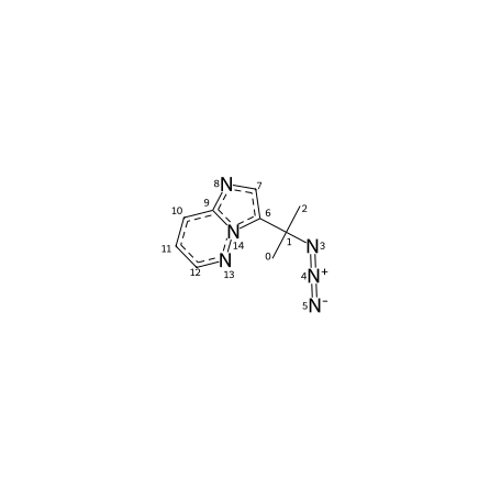 CC(C)(N=[N+]=[N-])c1cnc2cccnn12